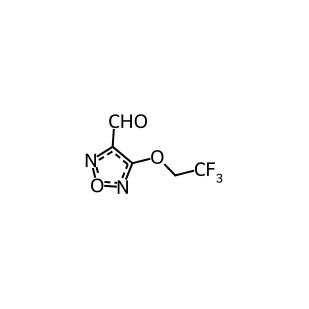 O=Cc1nonc1OCC(F)(F)F